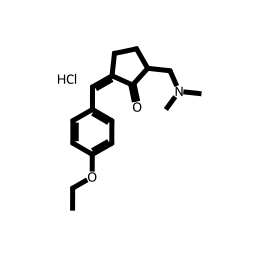 CCOc1ccc(C=C2CCC(CN(C)C)C2=O)cc1.Cl